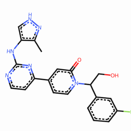 Cc1n[nH]cc1Nc1nccc(-c2ccn(C(CO)c3cccc(F)c3)c(=O)c2)n1